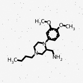 CCCCN1CCN(c2ccc(OC)c(OC)c2)C(CN)C1